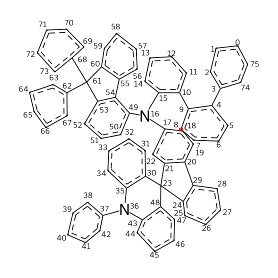 c1ccc(-c2ccccc2-c2ccccc2N(c2ccc3c(c2)C2(c4ccccc4-3)c3ccccc3N(c3ccccc3)c3ccccc32)c2cccc3c2-c2ccccc2C3(c2ccccc2)c2ccccc2)cc1